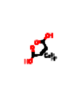 O=C(O)/C=C\C(=O)O.[Ca+2].[H+]